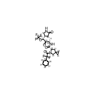 O=C1NCC[C@H]1C[C@H](NC(=O)[C@@H]1CC2(CC2)CN1C(=O)C(F)(F)c1ccccc1)C(=O)COC(F)(F)F